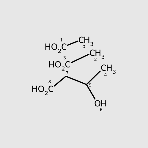 CC(=O)O.CC(=O)O.CC(O)CC(=O)O